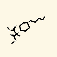 CCCCC[C@H]1CC[C@H](C(F)(C(=O)OC)C(=O)OC)CC1